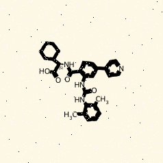 Cc1cccc(C)c1NC(=O)Nc1cc(-c2ccncc2)ccc1C(=O)N[C@H](C(=O)O)C1CCCCC1